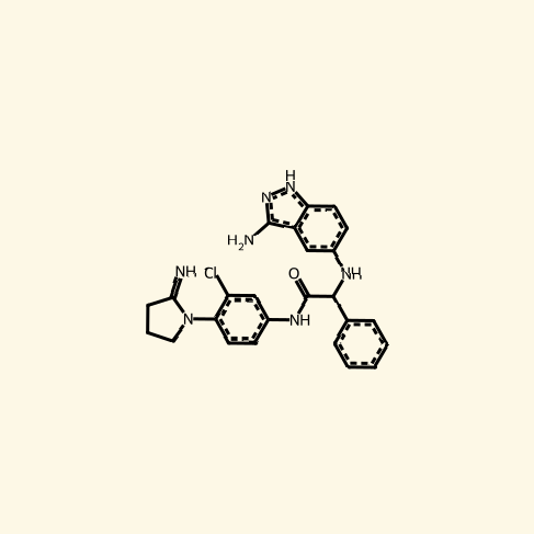 N=C1CCCN1c1ccc(NC(=O)C(Nc2ccc3[nH]nc(N)c3c2)c2ccccc2)cc1Cl